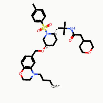 COCCCN1CCOc2ccc(CO[C@@H]3CC[C@@H](CC(C)(C)NC(=O)CC4CCOCC4)N(S(=O)(=O)c4ccc(C)cc4)C3)cc21